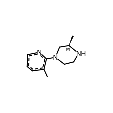 Cc1cccnc1N1CCN[C@H](C)C1